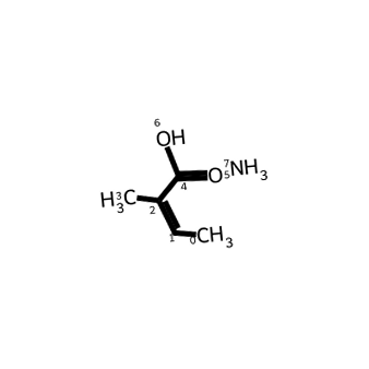 CC=C(C)C(=O)O.N